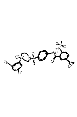 CN(c1ccc(C2CO2)cc1C(=O)Nc1ccc(S(=O)(=O)N2CC[N+]([O-])(c3cc(Cl)cc(Cl)c3)CC2)cc1)S(C)(=O)=O